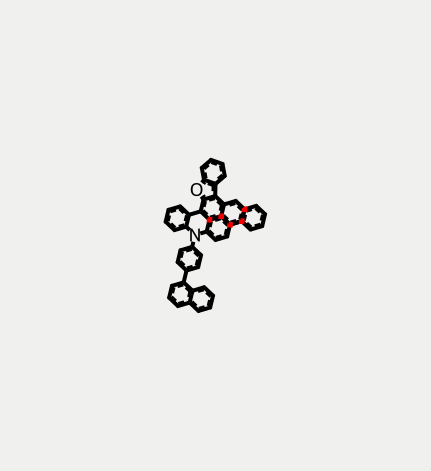 c1ccc(-c2ccc(N(c3ccc(-c4cccc5ccccc45)cc3)c3ccccc3-c3cc4ccccc4c4c3oc3ccccc34)cc2)cc1